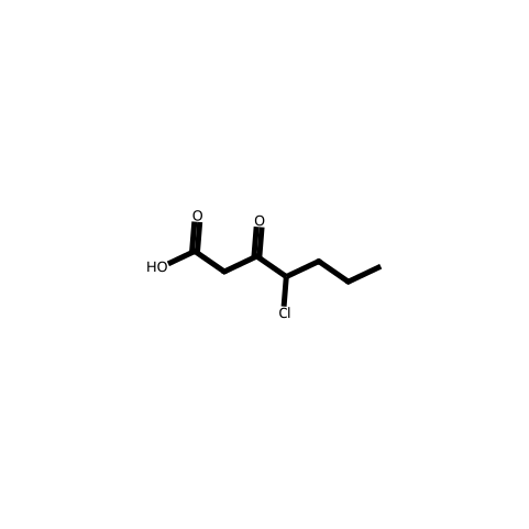 CCCC(Cl)C(=O)CC(=O)O